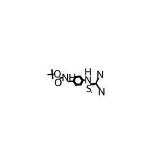 CSC(Nc1ccc(CNC(=O)OC(C)(C)C)cc1)=C(C#N)C#N